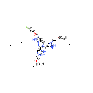 O=S(=O)(O)OCCN1C=C(CN(CC2=CN(CCOS(=O)(=O)O)NN2)CC2=CN(COCCCF)NN2)NN1